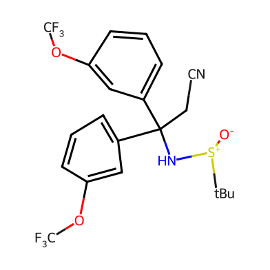 CC(C)(C)[S+]([O-])NC(CC#N)(c1cccc(OC(F)(F)F)c1)c1cccc(OC(F)(F)F)c1